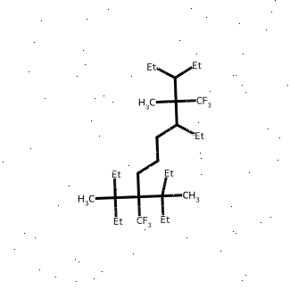 CCC(CC)C(C)(C(CC)CCCC(C(F)(F)F)(C(C)(CC)CC)C(C)(CC)CC)C(F)(F)F